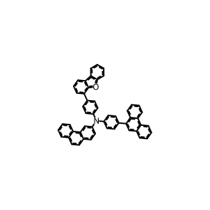 c1ccc2c(c1)ccc1ccc(N(c3ccc(-c4cc5ccccc5c5ccccc45)cc3)c3ccc(-c4cccc5c4oc4ccccc45)cc3)cc12